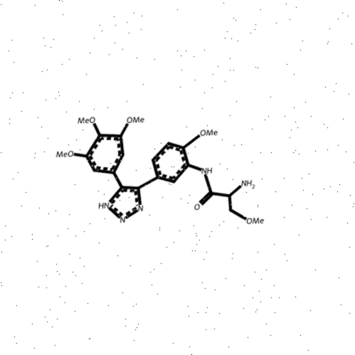 COCC(N)C(=O)Nc1cc(-c2nn[nH]c2-c2cc(OC)c(OC)c(OC)c2)ccc1OC